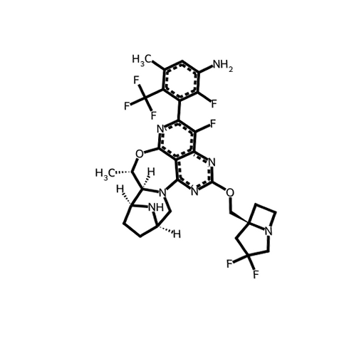 Cc1cc(N)c(F)c(-c2nc3c4c(nc(OC[C@@]56CCN5CC(F)(F)C6)nc4c2F)N2C[C@H]4CC[C@H](N4)[C@H]2[C@H](C)O3)c1C(F)(F)F